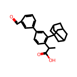 CC(C(=O)O)c1ccc(-c2cccc(C=O)c2)cc1C12CC3CC(CC(C3)C1)C2